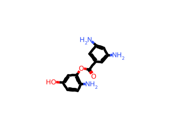 Nc1cc(N)cc(C(=O)Oc2cc(O)ccc2N)c1